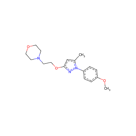 COc1ccc(-n2nc(OCCN3CCOCC3)cc2C)cc1